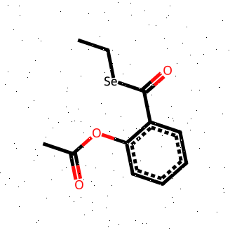 CC[Se]C(=O)c1ccccc1OC(C)=O